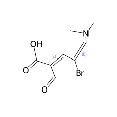 CN(C)/C=C(Br)\C=C(/C=O)C(=O)O